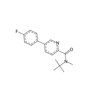 CN(C(=O)c1ccc(-c2ccc(F)cc2)cn1)C(C)(C)C